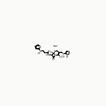 O=C(CC[S+]([O-])c1cccs1)NC1C(=O)N2C(C(=O)[O-])=C(CSc3cnn[nH]3)CS[C@@H]12.[Na+]